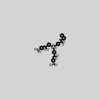 CCN(CC)c1ccc2cc(-c3ccc(-c4nc(-c5ccc(-c6c(C)c7c(ccc8ccccc87)oc6=O)cc5)nc(-c5cccc(-c6cc7ccc(N(CC)CC)cc7oc6=O)c5)n4)cc3)c(=O)oc2c1